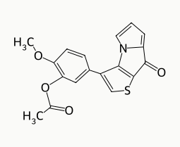 COc1ccc(-c2csc3c2-n2cccc2C3=O)cc1OC(C)=O